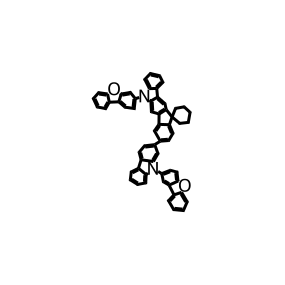 c1ccc2c(c1)oc1cc(-n3c4ccccc4c4cc5c(cc43)-c3cc(-c4ccc6c7ccccc7n(-c7ccc8oc9ccccc9c8c7)c6c4)ccc3C53CCCCC3)ccc12